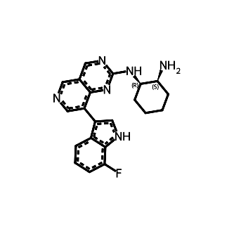 N[C@H]1CCCC[C@H]1Nc1ncc2cncc(-c3c[nH]c4c(F)cccc34)c2n1